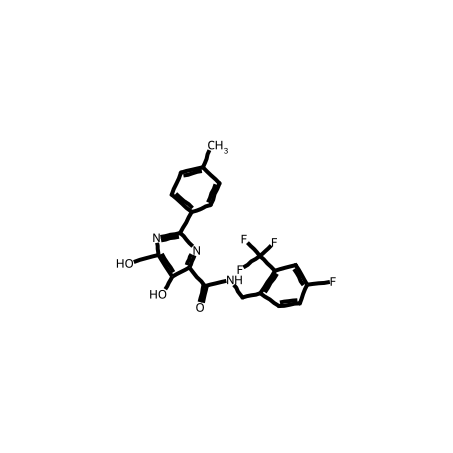 Cc1ccc(-c2nc(O)c(O)c(C(=O)NCc3ccc(F)cc3C(F)(F)F)n2)cc1